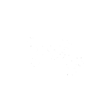 c1ccc(-c2cc(-c3ccccc3)cc(-n3ccc4c3ccc3c5cc(-c6ccccc6-c6ccccc6)ccc5n(-c5ccccc5)c34)c2)cc1